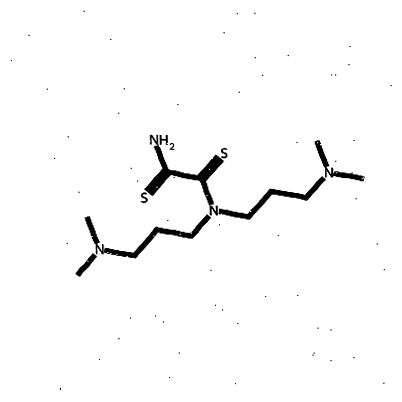 CN(C)CCCN(CCCN(C)C)C(=S)C(N)=S